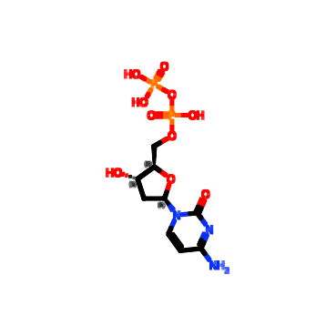 Nc1ccn([C@H]2C[C@H](O)[C@@H](COP(=O)(O)OP(=O)(O)O)O2)c(=O)n1